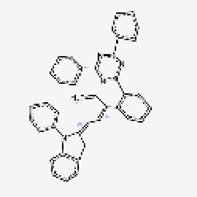 C=C/C(=C\C=C1/Cc2ccccc2N1c1ccccc1)c1ccccc1-c1nc(-c2ccccc2)nc(-c2ccccc2)n1